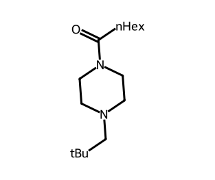 CCCCCCC(=O)N1CCN(CC(C)(C)C)CC1